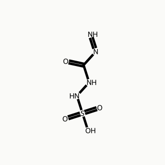 N=NC(=O)NNS(=O)(=O)O